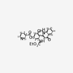 CCOC(=O)Nc1cc(OC(=O)c2cccnc2)cc(O)c1-c1cc(=O)c2ccccc2[nH]1